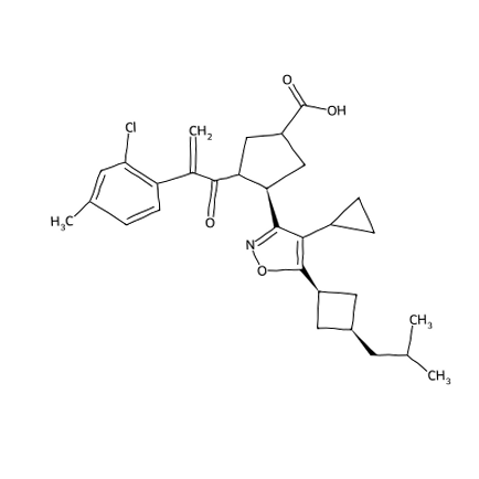 C=C(C(=O)C1CC(C(=O)O)C[C@H]1c1noc([C@H]2C[C@@H](CC(C)C)C2)c1C1CC1)c1ccc(C)cc1Cl